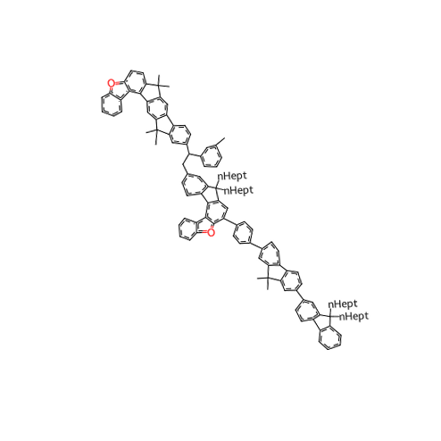 CCCCCCCC1(CCCCCCC)c2ccccc2-c2ccc(-c3ccc4c(c3)C(C)(C)c3cc(-c5ccc(-c6cc7c(c8c6oc6ccccc68)-c6ccc(CC(c8cccc(C)c8)c8ccc9c(c8)C(C)(C)c8cc%10c(cc8-9)C(C)(C)c8ccc9oc%11ccccc%11c9c8-%10)cc6C7(CCCCCCC)CCCCCCC)cc5)ccc3-4)cc21